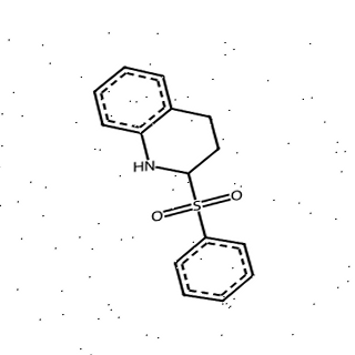 O=S(=O)(c1cc[c]cc1)C1CCc2ccccc2N1